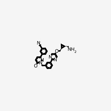 N#Cc1cccc(-c2ccc(=O)n(Cc3cccc(-c4ncc(OC[C@H]5C[C@@H]5CN)cn4)c3)n2)c1